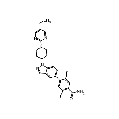 CCc1cnc(N2CCC(n3ncc4cc(-c5cc(F)c(C(N)=O)cc5F)ncc43)CC2)nc1